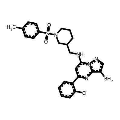 Bc1cnn2c(NCC3CCCN(S(=O)(=O)c4ccc(C)cc4)C3)cc(-c3ccccc3Cl)nc12